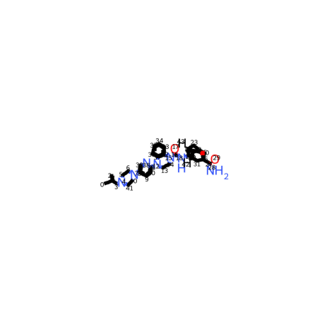 CC(C)CN1CCN(c2ccc(N3CCN(C(=O)NC4[C@@H]5CC6C[C@H]4CC(C(N)=O)(C6)C5)c4ccccc43)nc2)CC1